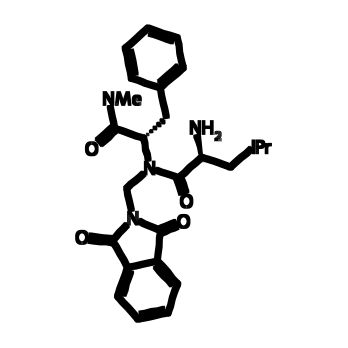 CNC(=O)[C@H](Cc1ccccc1)N(CN1C(=O)c2ccccc2C1=O)C(=O)[C@@H](N)CC(C)C